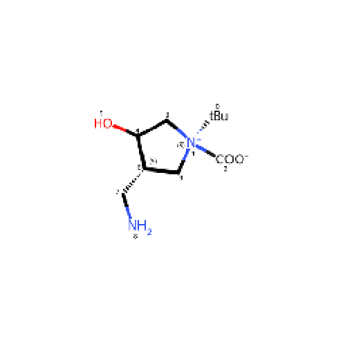 CC(C)(C)[N@@+]1(C(=O)[O-])CC(O)[C@@H](CN)C1